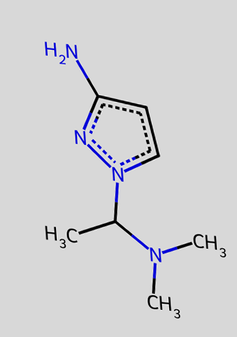 CC(N(C)C)n1ccc(N)n1